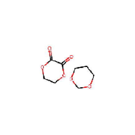 C1COCOC1.O=C1OCCOC1=O